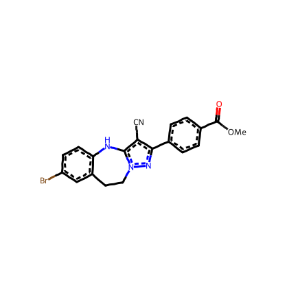 COC(=O)c1ccc(-c2nn3c(c2C#N)Nc2ccc(Br)cc2CC3)cc1